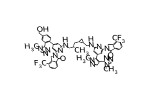 CC(CNc1cc(-c2ccc(CO)cc2-c2nncn2C)cc(N2Cc3c(cccc3C(F)(F)F)C2=O)n1)CC1CC1CNc1cc(-c2c(-c3nncn3C)cnn2C)cc(N2Cc3c(cccc3C(F)(F)F)C2=O)n1